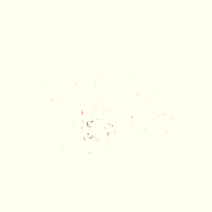 CCC(C)(C)c1cc(C(C)(C)CC)c2cc(-c3cc(C(C)=O)ccc3P(O)(O)(O)c3cc4c(C(C)(C)CC)cc(C(C)(C)CC)cc4cc3C(C)(C)CC)c(C(C)(C)CC)cc2c1